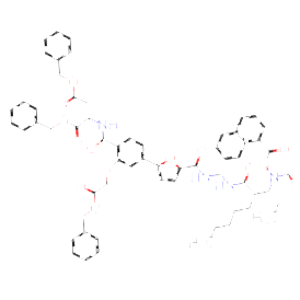 CCCCC[C@@H](C(=O)NCNC(=O)c1ccc(-c2ccc(C(=O)N[C@@H](CC(=O)OCc3ccccc3)C(=O)OCc3ccccc3)c(OCC(=O)OCc3ccccc3)c2)o1)[C@@H](CC)N(C=O)OC(=O)c1cccc2ccccc12